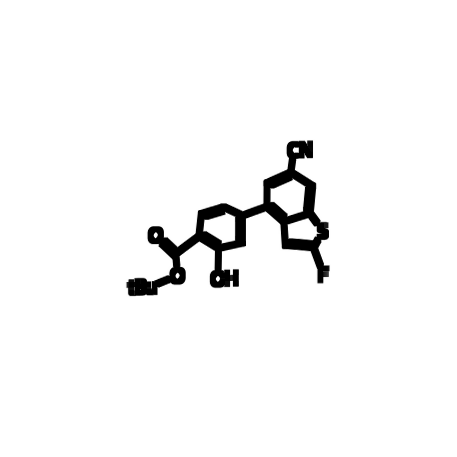 CC(C)(C)OC(=O)c1ccc(-c2cc(C#N)cc3sc(F)cc23)cc1O